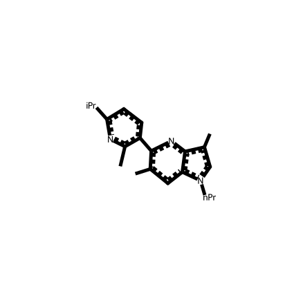 CCCn1cc(C)c2nc(-c3ccc(C(C)C)nc3C)c(C)cc21